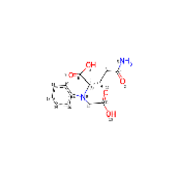 NC(=O)CC[C@@H](C(=O)O)N(CC(=O)O)c1ccccc1